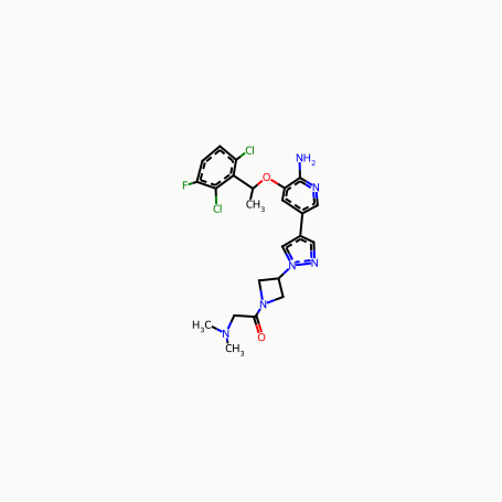 CC(Oc1cc(-c2cnn(C3CN(C(=O)CN(C)C)C3)c2)cnc1N)c1c(Cl)ccc(F)c1Cl